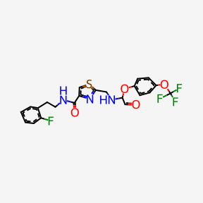 O=CC(NCc1nc(C(=O)NCCc2ccccc2F)cs1)Oc1ccc(OC(F)(F)F)cc1